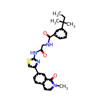 CCC(C)(C)c1cccc(C(=O)NCC(=O)Nc2nc(-c3ccc4ccn(C)c(=O)c4c3)cs2)c1